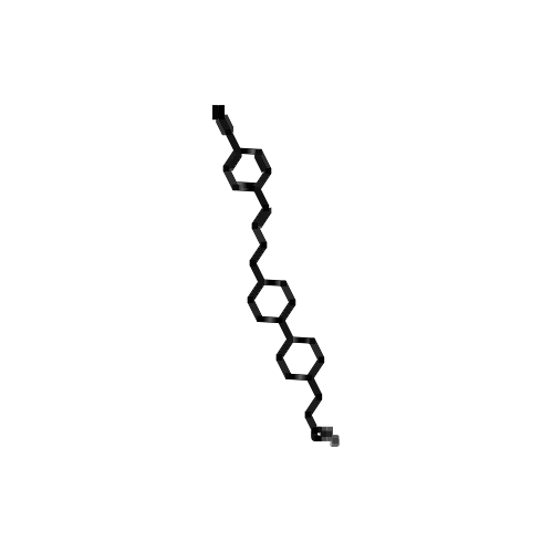 CCCC1CCC(C2CCC(CCC=Cc3ccc(C#N)cc3)CC2)CC1